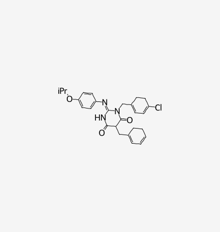 CC(C)Oc1ccc(/N=C2\NC(=O)C(CC3=CC=CCC3)C(=O)N2CC2=CC=C(Cl)CC2)cc1